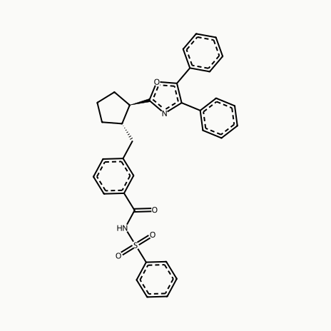 O=C(NS(=O)(=O)c1ccccc1)c1cccc(C[C@@H]2CCC[C@H]2c2nc(-c3ccccc3)c(-c3ccccc3)o2)c1